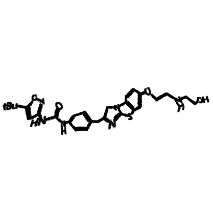 CC(C)(C)c1cc(NC(=O)Nc2ccc(C3CN4C(=N3)Sc3cc(OCCNCCO)ccc34)cc2)no1